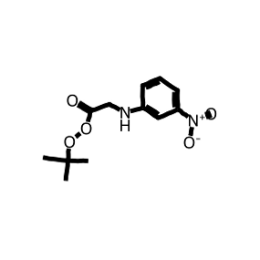 CC(C)(C)OOC(=O)CNc1cccc([N+](=O)[O-])c1